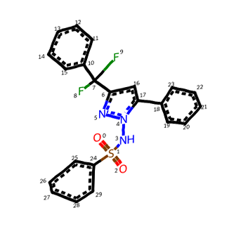 O=S(=O)(Nn1nc(C(F)(F)c2ccccc2)cc1-c1ccccc1)c1ccccc1